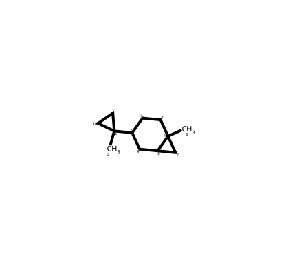 CC1(C2CCC3(C)CC3C2)CC1